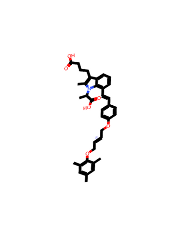 Cc1cc(C)c(OC/C=C/COc2ccc(C=Cc3cccc4c(CCCC(=O)O)c(C)n(C(C)C(=O)O)c34)cc2)c(C)c1